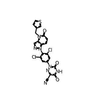 N#Cc1nn(-c2cc(Cl)c(-n3ncc4c3ccc(=O)n4Cc3ccsc3)c(Cl)c2)c(=O)[nH]c1=O